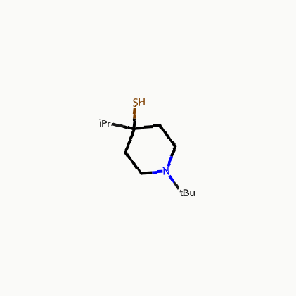 CC(C)C1(S)CCN(C(C)(C)C)CC1